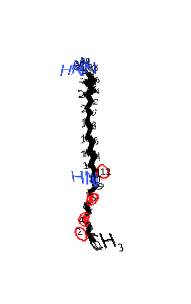 CC(=O)COCCOCCNC(=O)CCCCCCCCCCCCCCc1nnn[nH]1